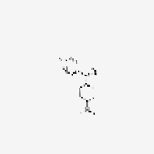 CCc1ccc(C(=O)N2CCC(N(C)C)CC2)cn1